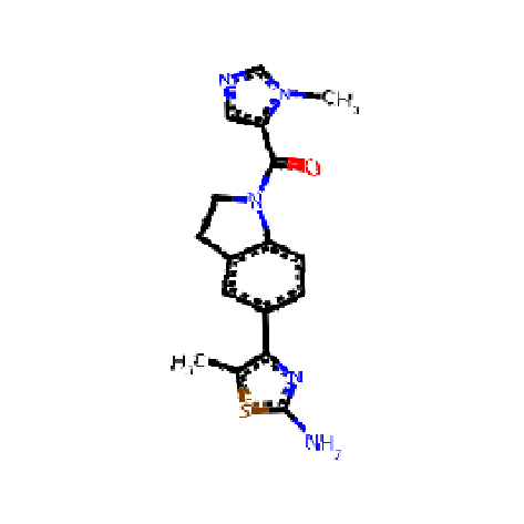 Cc1sc(N)nc1-c1ccc2c(c1)CCN2C(=O)c1cncn1C